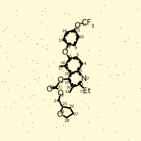 CCc1nc2ccc(Oc3ccc(OC(F)(F)F)cc3)c(C)c2c(OC(=O)OCC2CCCO2)c1C